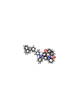 c1cc(-c2ccc(N(c3ccc4c(c3)oc3ccccc34)c3ccccc3-c3ccc4c(c3)c3cccc5c3n4-c3ccccc3O5)cc2)cc(-c2cccc3ccccc23)c1